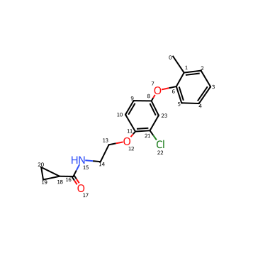 Cc1ccccc1Oc1ccc(OCCNC(=O)C2CC2)c(Cl)c1